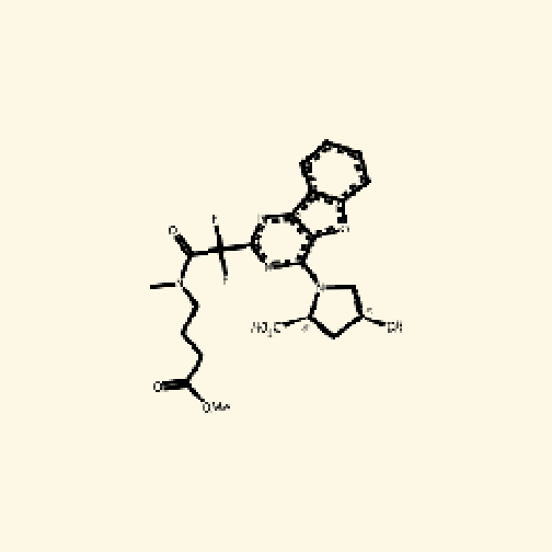 COC(=O)CCCN(C)C(=O)C(F)(F)c1nc(N2C[C@@H](O)C[C@H]2C(=O)O)c2oc3ccccc3c2n1